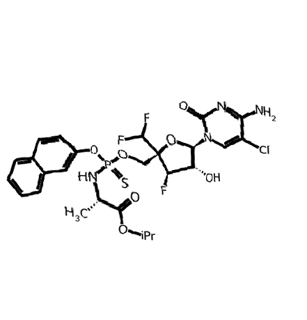 CC(C)OC(=O)[C@H](C)NP(=S)(OC[C@@]1(C(F)F)O[C@@H](n2cc(Cl)c(N)nc2=O)[C@H](O)[C@H]1F)Oc1ccc2ccccc2c1